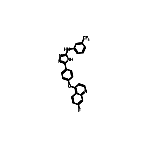 Fc1ccc2c(Oc3ccc(-c4nnc(Nc5cccc(C(F)(F)F)c5)[nH]4)cc3)ccnc2c1